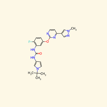 Cn1cc(-c2ccnc(Oc3ccc(F)c(NC(=O)Nc4ccn(C(C)(C)C)c4)c3)n2)cn1